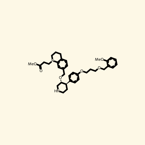 COC(=O)CCN1CCCc2ccc(CO[C@H]3CNCC[C@@H]3c3ccc(OCCCOCc4ccccc4OC)cc3)cc21